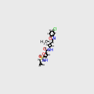 CC[C@]1(Cc2nc3cc(Cl)ccc3o2)C[C@@H](NC(=O)c2ccc(S(=N)(=O)CC3CC3)o2)C1